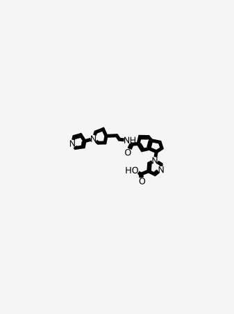 O=C(O)C1=CN(C2CCc3ccc(C(=O)NCCC4CCN(c5ccncc5)CC4)cc32)CN=C1